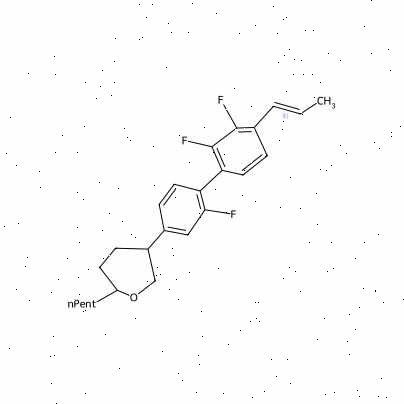 C/C=C/c1ccc(-c2ccc(C3CCC(CCCCC)OC3)cc2F)c(F)c1F